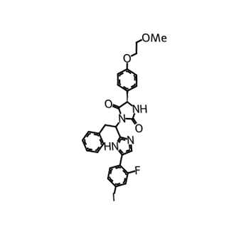 COCCOc1ccc([C@H]2NC(=O)N(C(Cc3ccccc3)c3ncc(-c4ccc(I)cc4F)[nH]3)C2=O)cc1